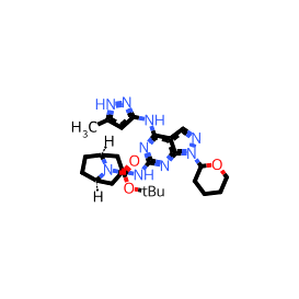 Cc1cc(Nc2nc(NC3C[C@H]4CC[C@@H](C3)N4C(=O)OC(C)(C)C)nc3c2cnn3C2CCCCO2)n[nH]1